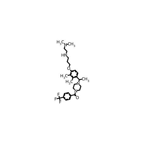 Cc1c(OCCCNCCN(C)C)ccc(C(C)N2CCN(C(=O)c3ccc(C(F)(F)F)cc3)CC2)c1C